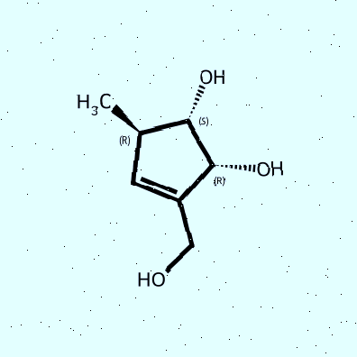 C[C@@H]1C=C(CO)[C@@H](O)[C@H]1O